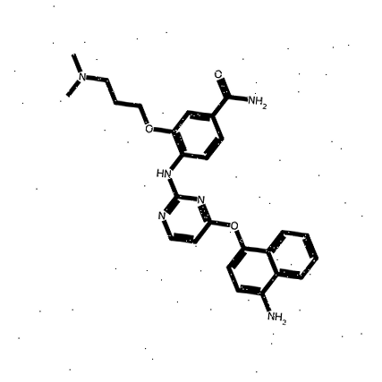 CN(C)CCCOc1cc(C(N)=O)ccc1Nc1nccc(Oc2ccc(N)c3ccccc23)n1